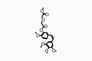 COC(=O)COCC(=O)Oc1cc(/C=C\c2cc(OC)c(OC)c(OC)c2)ccc1OC